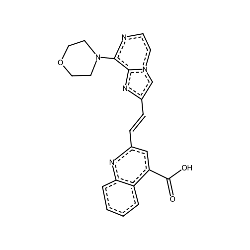 O=C(O)c1cc(C=Cc2cn3ccnc(N4CCOCC4)c3n2)nc2ccccc12